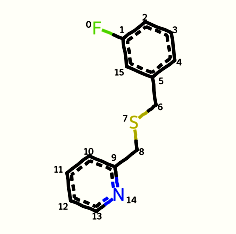 Fc1cccc(CSCc2ccccn2)c1